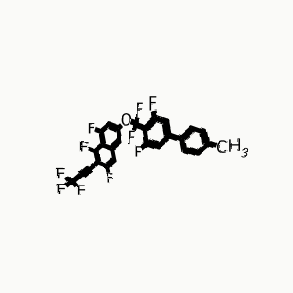 Cc1ccc(-c2cc(F)c(C(F)(F)Oc3cc(F)c4c(F)c(C#CC(F)(F)F)c(F)cc4c3)c(F)c2)cc1